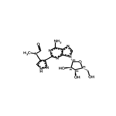 CN(C=O)c1c[nH]nc1-c1nc(N)c2ncn([C@@H]3O[C@H](CO)[C@@H](O)[C@H]3O)c2n1